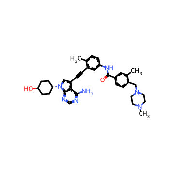 Cc1ccc(NC(=O)c2ccc(CN3CCN(C)CC3)c(C)c2)cc1C#Cc1cn([C@H]2CC[C@H](O)CC2)c2ncnc(N)c12